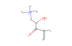 C=C(C)C(=O)C(O)C[N+](C)(C)C